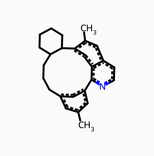 Cc1cc2cc(c1)-c1nccc3cc(C)c(cc13)C1CCCCC1CCC2